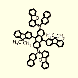 CC1(C)c2ccccc2-c2ccc(-c3c4ccc(N(c5ccc6ccccc6c5)c5cccc6c5oc5ccccc56)cc4c(-c4ccc5c(c4)C(C)(C)c4ccccc4-5)c4ccc(N(c5ccc6ccccc6c5)c5cccc6c5oc5ccccc56)cc34)cc21